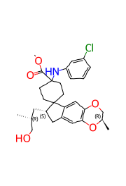 COC(=O)C1(Nc2cccc(Cl)c2)CCC2(CC1)c1cc3c(cc1C[C@@H]2C[C@@H](C)CO)O[C@H](C)CO3